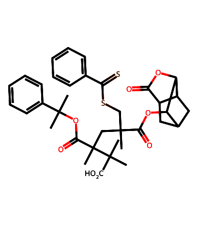 CC(CSC(=S)c1ccccc1)(CC(C)(C(=O)OC(C)(C)c1ccccc1)C(C)(C)C(=O)O)C(=O)OC1C2CC3C(=O)OC1C3C2